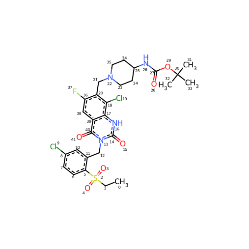 CCS(=O)(=O)c1ccc(Cl)cc1Cn1c(=O)[nH]c2c(Cl)c(CN3CCC(NC(=O)OC(C)(C)C)CC3)c(F)cc2c1=O